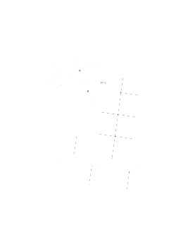 O=S(=O)(F)C(F)(F)C(F)(F)OC(F)(C(F)(F)F)C(F)(F)C(=C(F)F)C(F)=C(F)F